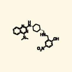 CN(C)c1nc(N[C@H]2CC[C@@H](CNCc3cc([N+](=O)[O-])ccc3O)CC2)nc2ccccc12